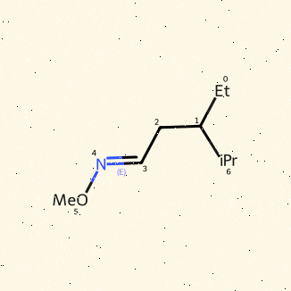 CCC(C/C=N/OC)C(C)C